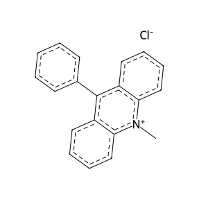 C[n+]1c2ccccc2c(-c2ccccc2)c2ccccc21.[Cl-]